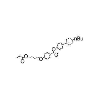 C=CC(=O)OCCCCOc1ccc(C(=O)Oc2ccc(C3CCC(CCCC)CC3)cc2)cc1